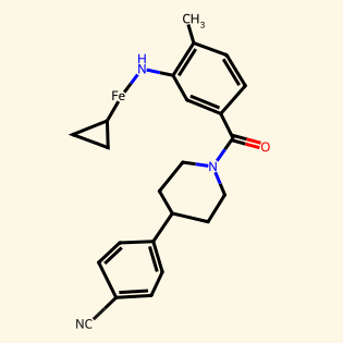 Cc1ccc(C(=O)N2CCC(c3ccc(C#N)cc3)CC2)cc1[NH][Fe][CH]1CC1